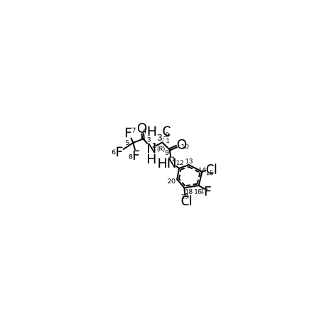 C[C@@H](NC(=O)C(F)(F)F)C(=O)Nc1cc(Cl)c(F)c(Cl)c1